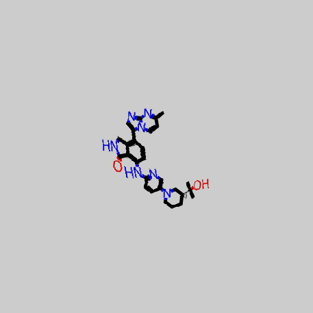 Cc1ccn2c(-c3ccc(Nc4ccc(N5CCC[C@@H](C(C)(C)O)C5)cn4)c4c3CNC4=O)cnc2n1